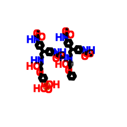 COC(=O)Nc1ccc(C(CCNCC(O)COc2ccccc2)c2ccc(NC(=O)OC)cc2)cc1.COC(=O)Nc1ccc(C(CCNC[C@H](O)COc2ccccc2)c2ccc(NC(=O)OC)cc2)cc1.O=S(=O)(O)O